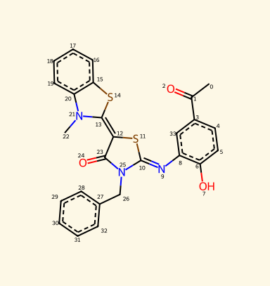 CC(=O)c1ccc(O)c(/N=C2\S/C(=C3\Sc4ccccc4N3C)C(=O)N2Cc2ccccc2)c1